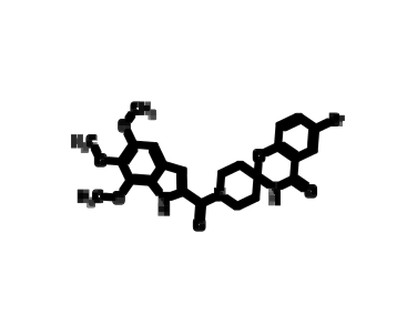 COc1cc2cc(C(=O)N3CCC4(CC3)NC(=O)c3cc(Br)ccc3O4)[nH]c2c(OC)c1OC